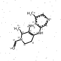 Cc1cncc(NC2=C(N)C(C)N(C=O)CC2)n1